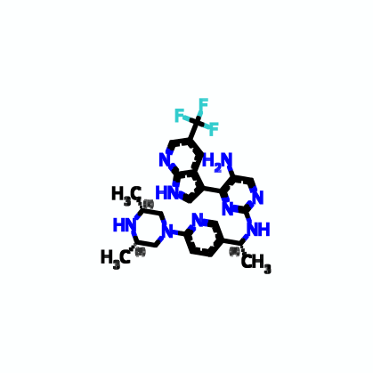 C[C@@H]1CN(c2ccc([C@@H](C)Nc3ncc(N)c(-c4c[nH]c5ncc(C(F)(F)F)cc45)n3)cn2)C[C@H](C)N1